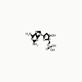 Nc1nc(N)c2ncn([C@H]3C[C@@H](O)[C@@H](COP(=O)(O)O)O3)c2n1